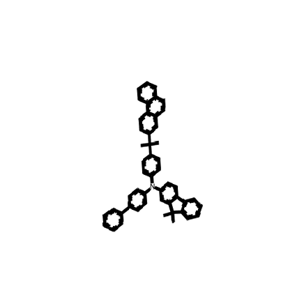 CC(C)(c1ccc(N(c2ccc(-c3ccccc3)cc2)c2ccc3c(c2)C(C)(C)c2ccccc2-3)cc1)c1ccc2c(ccc3ccccc32)c1